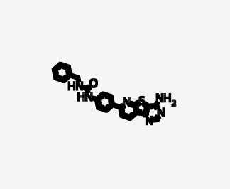 Nc1ncnc2c1sc1nc(-c3ccc(NC(=O)NCc4ccccc4)cc3)ccc12